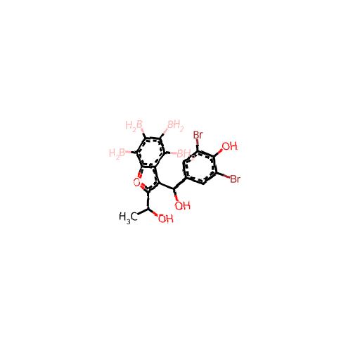 Bc1c(B)c(B)c2c(C(O)c3cc(Br)c(O)c(Br)c3)c(C(C)O)oc2c1B